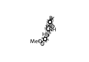 COC(=O)c1ccc(CNC[C@@H]2CCS[C@H](c3ccc(Br)cc3)C(=O)N2)cc1